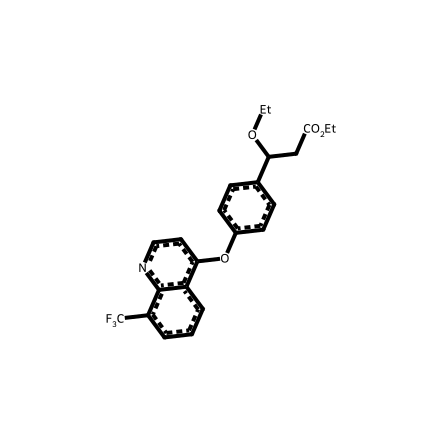 CCOC(=O)CC(OCC)c1ccc(Oc2ccnc3c(C(F)(F)F)cccc23)cc1